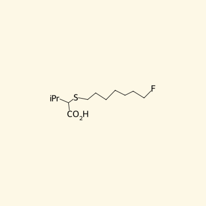 CC(C)C(SCCCCCCCF)C(=O)O